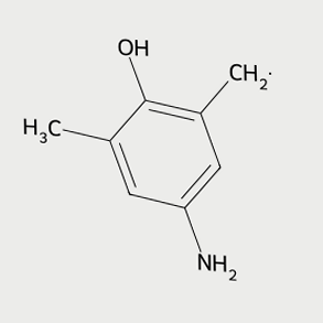 [CH2]c1cc(N)cc(C)c1O